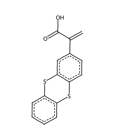 C=C(C(=O)O)c1ccc2c(c1)Sc1ccccc1S2